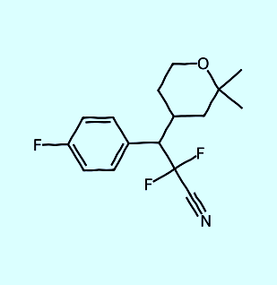 CC1(C)CC(C(c2ccc(F)cc2)C(F)(F)C#N)CCO1